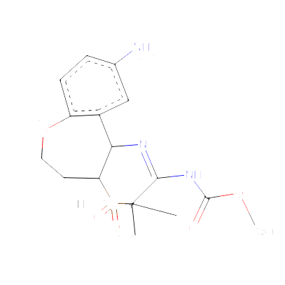 C[C@H]1C[C@H]2[C@](C)(N=C(NC(=O)OC(C)(C)C)C(C)(C)S2(=O)=O)c2cc(N)ccc2O1